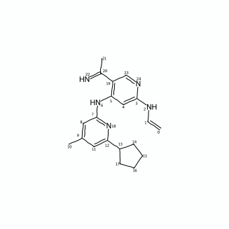 C=CNc1cc(Nc2cc(C)cc(C3CCCC3)n2)c(C(C)=N)cn1